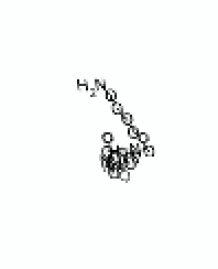 C[C@@H](C(=O)N[C@H](C(=O)N1CCC[C@H]1c1nc(C(=O)c2cccc(OCCOCCOCCOCCN)c2)cs1)C1CCCCC1)N(C)C(=O)OCc1ccccc1